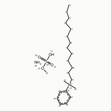 CCCCCCCCCCCCC[N+](C)(C)c1ccccc1.COS(=O)(=O)O.N